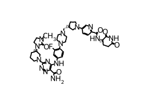 CN1CCN([C@@H]2CCCN(c3nnc(C(N)=O)c(Nc4ccc(N5CCN(C[C@@H]6CCN(c7ccc(C(=O)N[C@H]8CCC(=O)NC8=O)nc7)C6)CC5)c(F)c4)n3)C2)C1=O